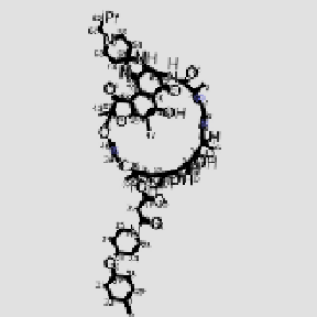 C/C1=C/C=C/[C@H](C)[C@H](O)[C@@H](C)[C@@H](O)[C@@H](C)[C@H](OC(=O)CC(=O)N2CCC(OC3CCC(C)CC3)CC2)[C@H](C)C/C=C/O[C@@]2(C)Oc3c(C)c(O)c4c(c3C2=O)C2=NC3(CCN(CC(C)C)CC3)NC2=C(NC1=O)C4=O